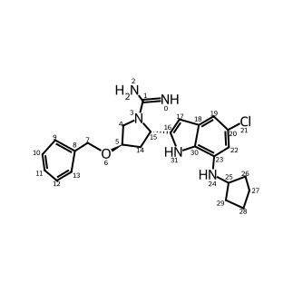 N=C(N)N1C[C@H](OCc2ccccc2)C[C@H]1c1cc2cc(Cl)cc(NC3CCCC3)c2[nH]1